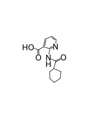 O=C(O)c1cccnc1NC(=O)C1CCCCC1